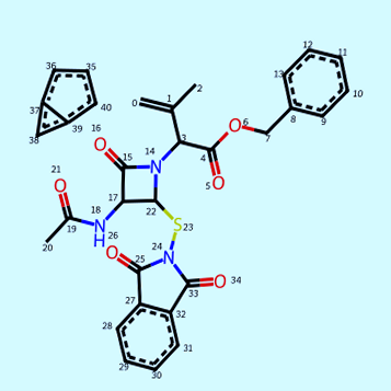 C=C(C)C(C(=O)OCc1ccccc1)N1C(=O)C(NC(C)=O)C1SN1C(=O)c2ccccc2C1=O.c1cc2cc-2c1